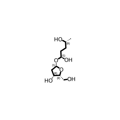 C[C@@H](O)CC[C@@H](O)O[C@H]1C[C@@H](O)[C@@H](CO)O1